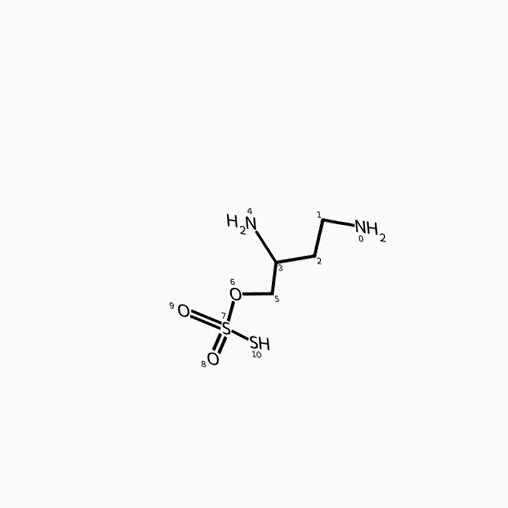 NCCC(N)COS(=O)(=O)S